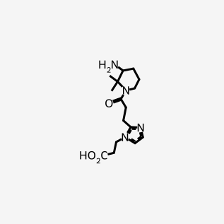 CC1(C)C(N)CCCN1C(=O)CCc1nccn1CCC(=O)O